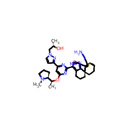 C[C@H](O)Cn1ccc(-c2cc(O[C@@H](C)[C@@H]3CCCN3C)nc(-c3onc4c3CCC[C@@]43CCCc4sc(N)c(C#N)c43)n2)n1